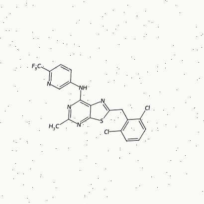 Cc1nc(Nc2ccc(C(F)(F)F)nc2)c2nc(Cc3c(Cl)cccc3Cl)sc2n1